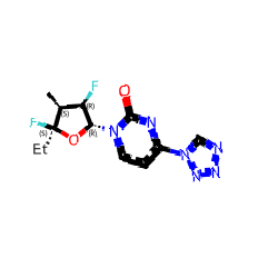 CC[C@@]1(F)O[C@@H](n2ccc(-n3cnnn3)nc2=O)[C@H](F)[C@@H]1C